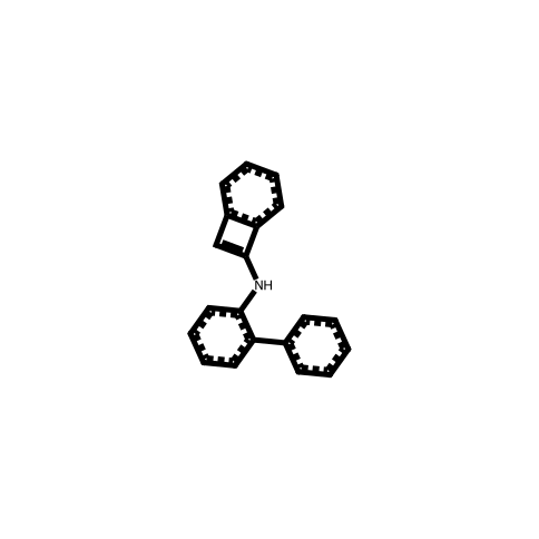 C1=C(Nc2ccccc2-c2ccccc2)c2ccccc21